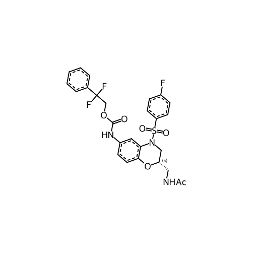 CC(=O)NC[C@H]1CN(S(=O)(=O)c2ccc(F)cc2)c2cc(NC(=O)OCC(F)(F)c3ccccc3)ccc2O1